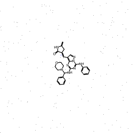 C=C1C/C(=C\c2cnn3c(Nc4ccccc4)nc(NC(c4ccccc4)N4CCOCC4)nc23)C(=O)N1